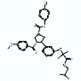 CSc1ccc(C(=O)[C@H]2CN(C(=O)Oc3ccc(Cl)cc3)CC2c2cccc(OC(C)(C)C(=O)OCC(C)C)c2)cc1